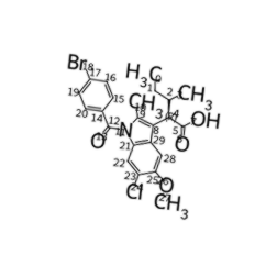 CCC(C)[C@@H](C(=O)O)c1c(C)n(C(=O)c2ccc(Br)cc2)c2cc(Cl)c(OC)cc12